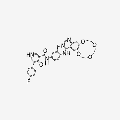 O=C(Nc1ccc(Nc2ncnc3cc4c(cc23)OCCOCCOCCO4)c(F)c1)c1c[nH]cc(-c2ccc(F)cc2)c1=O